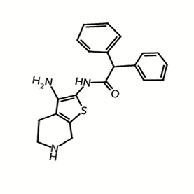 Nc1c(NC(=O)C(c2ccccc2)c2ccccc2)sc2c1CCNC2